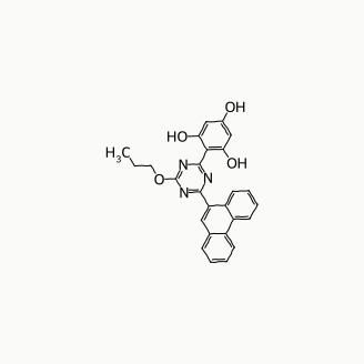 CCCOc1nc(-c2c(O)cc(O)cc2O)nc(-c2cc3ccccc3c3ccccc23)n1